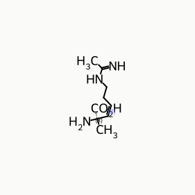 CC(=N)NCC/C=C\[C@@](C)(N)C(=O)O